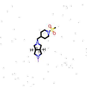 CS(=O)(=O)N1CCC(CN2C[C@H]3CN(I)C[C@H]3C2)CC1